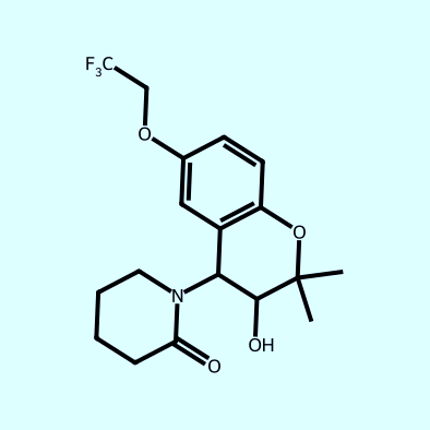 CC1(C)Oc2ccc(OCC(F)(F)F)cc2C(N2CCCCC2=O)C1O